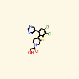 O=C(CO)N1CCc2c(sc3c(Cl)c(Cl)cc(-c4cncnc4)c23)C1